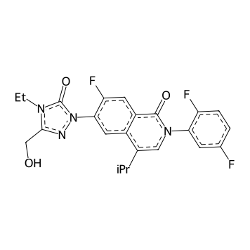 CCn1c(CO)nn(-c2cc3c(C(C)C)cn(-c4cc(F)ccc4F)c(=O)c3cc2F)c1=O